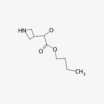 CCCCOC(=O)C([O])C1CNC1